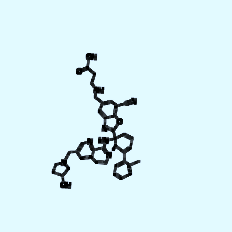 Cc1ccccc1C1=CC=CC(Nc2nccc3cc(CN4CCC(O)C4)cnc23)(c2nc3cc(CNCCC(=O)O)cc(C#N)c3o2)[C@@H]1C